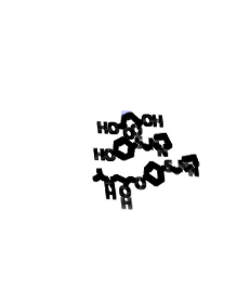 CC(C)NCC(O)COc1ccc(SCn2cccn2)cc1.O=C(O)/C=C\C(=O)O.Oc1ccc(SCn2cccn2)cc1